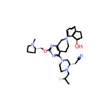 CC(F)CN1CCN(c2nc(OC[C@@H]3CCCN3C)nc3c2CCN(c2cccc4c2[C@H](O)CC4)C3)C[C@@H]1CC#N